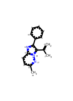 C=C(C)c1c(-c2ccccc2)nc2ccc(C)nn12